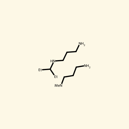 CCC(CC)NCCCN.CNCCCN